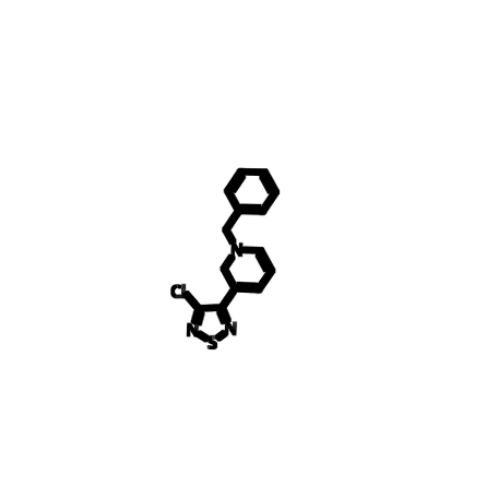 Clc1nsnc1C1=CC=CN(Cc2ccccc2)C1